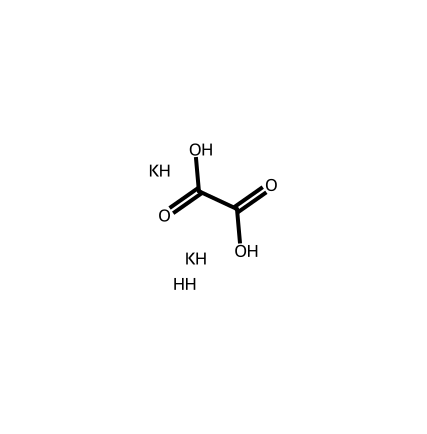 O=C(O)C(=O)O.[HH].[KH].[KH]